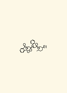 CCC1CCC(C)N(C(=O)CN(C(=O)CN2C(=O)c3ccccc3C2=O)c2ccccc2)C1